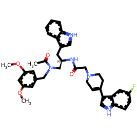 COc1cc(CN(C[C@@H](Cc2c[nH]c3ccccc23)NC(=O)CN2CC=C(c3c[nH]c4ccc(F)cc34)CC2)C(C)=O)cc(OC)c1